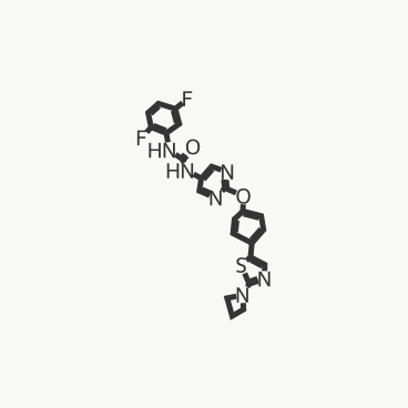 O=C(Nc1cnc(Oc2ccc(-c3cnc(N4CCC4)s3)cc2)nc1)Nc1cc(F)ccc1F